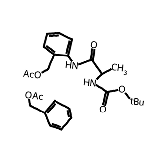 CC(=O)OCc1ccccc1.CC(=O)OCc1ccccc1NC(=O)C(C)NC(=O)OC(C)(C)C